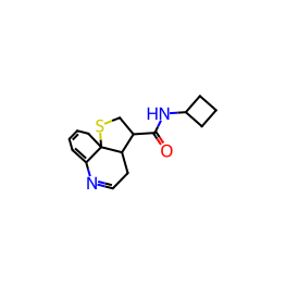 O=C(NC1CCC1)C1CSC23CC=CC=C2N=CCC13